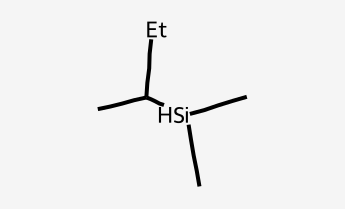 CCC(C)[SiH](C)C